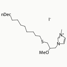 CCCCCCCCCCCCCCCCCCSCC(Cn1cc[n+](C)c1)OC.[I-]